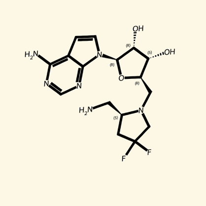 NC[C@@H]1CC(F)(F)CN1C[C@H]1O[C@@H](n2ccc3c(N)ncnc32)[C@H](O)[C@@H]1O